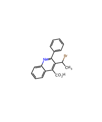 CC(Br)c1c(-c2ccccc2)nc2ccccc2c1C(=O)O